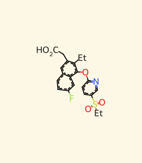 CCc1c(CC(=O)O)cc2ccc(F)cc2c1Oc1ccc(S(=O)(=O)CC)cn1